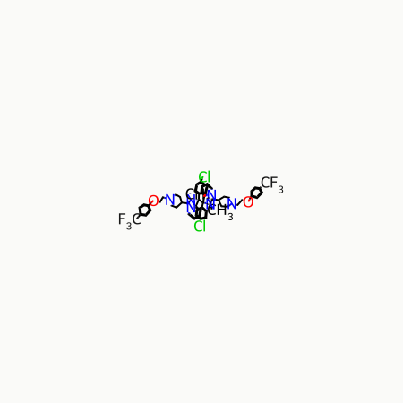 CN(CC1CCN(CCOc2ccc(C(F)(F)F)cc2)CC1)C(c1ccc(Cl)cc1)(c1ccccn1)[C@](c1ccc(Cl)cc1)(c1ccccn1)N(C)CC1CCN(CCOc2ccc(C(F)(F)F)cc2)CC1